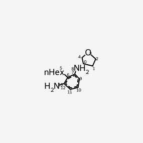 C1CCOC1.CCCCCCc1c(N)cccc1N